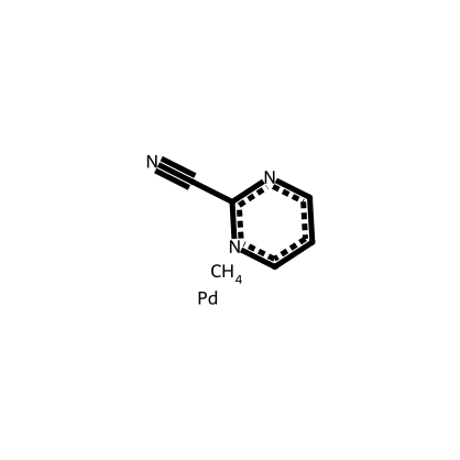 C.N#Cc1ncccn1.[Pd]